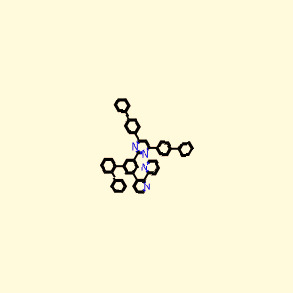 c1ccc(-c2ccc(-c3cc(-c4ccc(-c5ccccc5)cc4)nc(-c4cc(-c5ccccc5-c5ccccc5)cc(-c5cccnc5-c5ccccn5)c4)n3)cc2)cc1